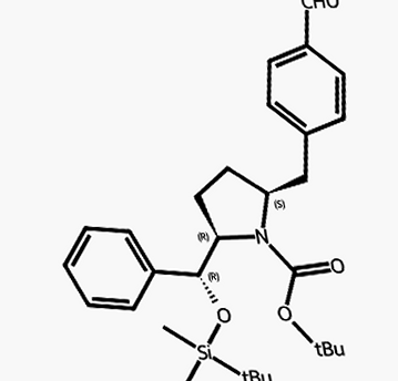 CC(C)(C)OC(=O)N1[C@H](Cc2ccc(C=O)cc2)CC[C@@H]1[C@H](O[Si](C)(C)C(C)(C)C)c1ccccc1